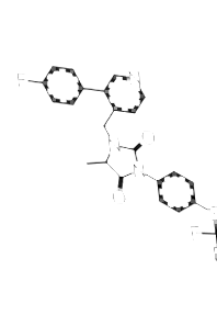 CC1C(=O)N(c2ccc(SC(F)(F)F)cc2)C(=O)N1Cc1ccncc1-c1ccc(F)cc1